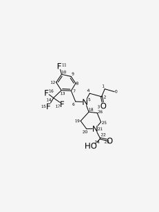 CCC(=O)CN(Cc1ccc(F)cc1C(F)(F)F)C1CCN(C(=O)O)CC1